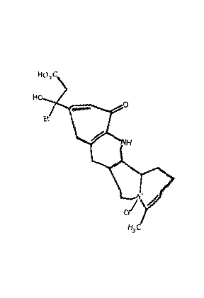 CCC(O)(CC(=O)O)C1=CC(=O)C2=C(C1)CC1C[N+]3(Cl)C(C)=CCCC3C1N2